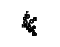 O=C(NCc1ccco1)c1cn(Cc2ccc(Cl)cc2)c(Nc2ccc(Oc3cccc(F)n3)cc2)nc1=O